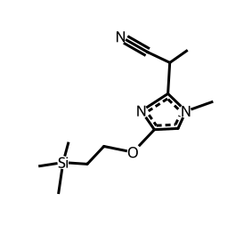 CC(C#N)c1nc(OCC[Si](C)(C)C)cn1C